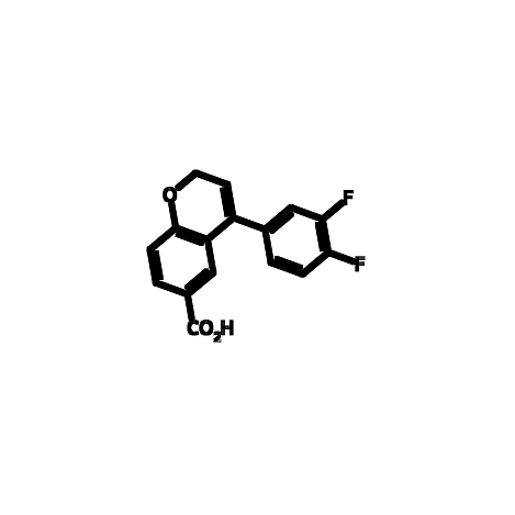 O=C(O)c1ccc2c(c1)C(c1ccc(F)c(F)c1)=CCO2